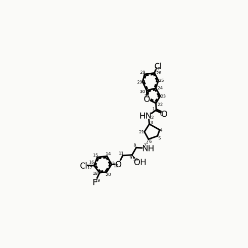 O=C(NC1CC[C@H](NC[C@@H](O)COc2ccc(Cl)c(F)c2)C1)c1cc2cc(Cl)ccc2o1